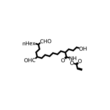 C=CC(=O)ONC(=O)C(CCCO)CCCCCCC(C=O)CCC(C=O)CCCCCC